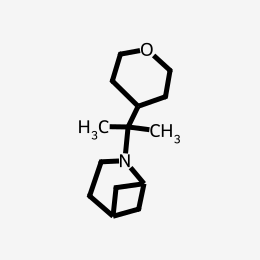 CC(C)(C1CCOCC1)N1CCC2CC1C2